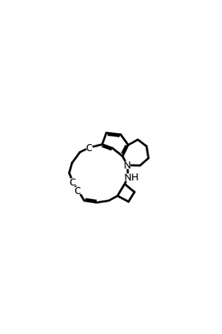 C1=CCC2CCC2NN2CCCCc3ccc(cc32)CCCCCC1